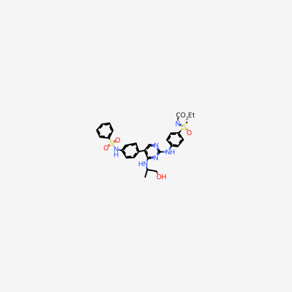 CCOC(=O)N=S(C)(=O)c1ccc(Nc2ncc(-c3ccc(NS(=O)(=O)c4ccccc4)cc3)c(NC(C)CO)n2)cc1